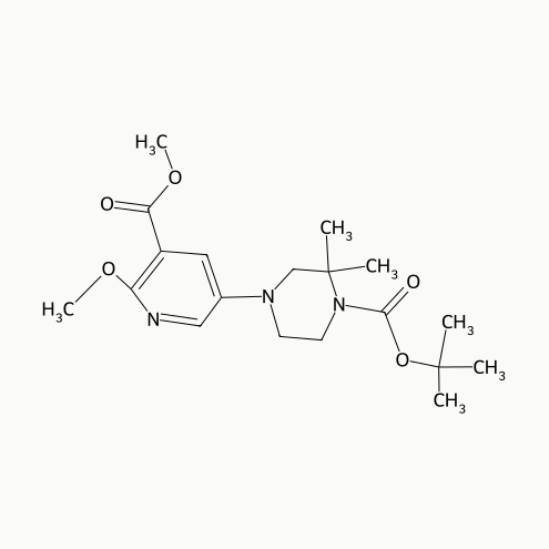 COC(=O)c1cc(N2CCN(C(=O)OC(C)(C)C)C(C)(C)C2)cnc1OC